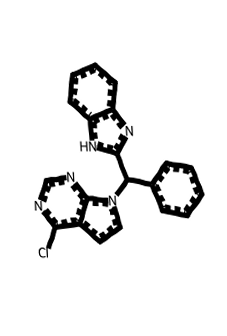 Clc1ncnc2c1ccn2C(c1ccccc1)c1nc2ccccc2[nH]1